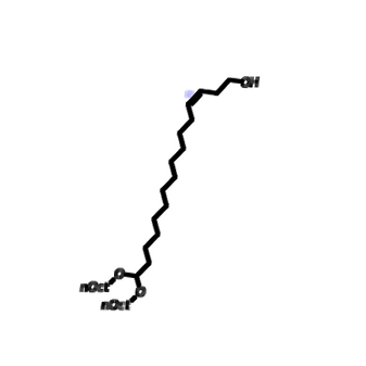 CCCCCCCCOC(CCCCCCCCCCC/C=C\CCO)OCCCCCCCC